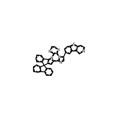 c1ccc2c(c1)-c1ccccc1C21c2ccccc2-c2c1cc1c3ncc(-c4ccc5sc6ccncc6c5c4)n3c3nccnc3n21